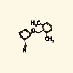 Cc1cccc(C)c1COc1cccc(C#N)c1